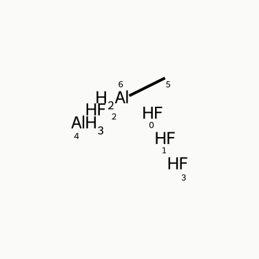 F.F.F.F.[AlH3].[CH3][AlH2]